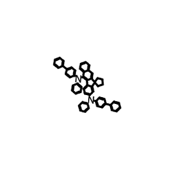 c1ccc(-c2ccc(N(c3ccccc3)c3ccc4c(c3)C3(CCCC3)c3cc5ccccc5c(N(c5ccccc5)c5ccc(-c6ccccc6)cc5)c3-4)cc2)cc1